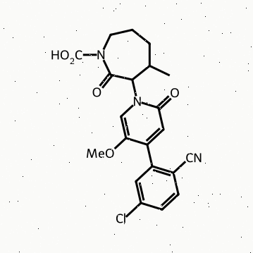 COc1cn(C2C(=O)N(C(=O)O)CCCC2C)c(=O)cc1-c1cc(Cl)ccc1C#N